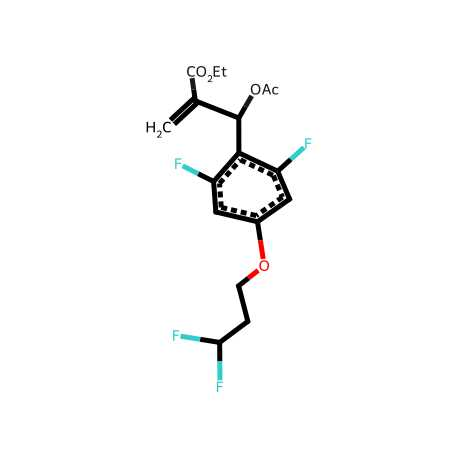 C=C(C(=O)OCC)C(OC(C)=O)c1c(F)cc(OCCC(F)F)cc1F